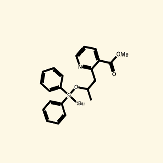 COC(=O)c1cccnc1CC(C)O[Si](c1ccccc1)(c1ccccc1)C(C)(C)C